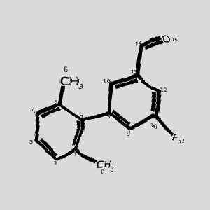 Cc1cccc(C)c1-c1cc(F)cc(C=O)c1